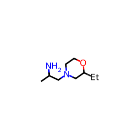 CCC1CN(CC(C)N)CCO1